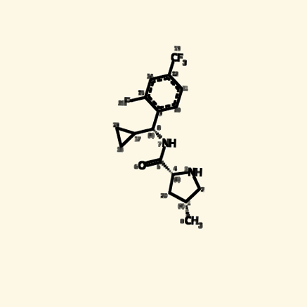 C[C@H]1CN[C@@H](C(=O)N[C@@H](c2ccc(C(F)(F)F)cc2F)C2CC2)C1